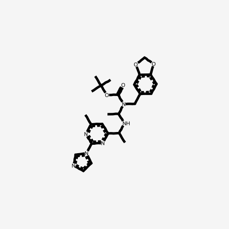 Cc1cc(C(C)NC(C)N(Cc2ccc3c(c2)OCO3)C(=O)OC(C)(C)C)nc(-n2ccnc2)n1